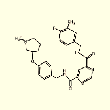 Cc1cc(CNC(=O)c2cc(C(=O)NCc3ccc(OC4CCCN(C)C4)cc3)ncn2)ccc1F